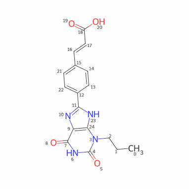 CCCn1c(=O)[nH]c(=O)c2nc(-c3ccc(C=CC(=O)O)cc3)[nH]c21